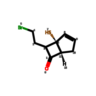 O=C1C(CCBr)[C@@]2(S)C=CC[C@@H]12